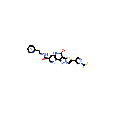 O=C(NCCN1CC2CCC1CC2)c1cnc2c(c1)[nH]c(=O)c1c2nn2cc(-c3cnn(C(F)F)c3)sc12